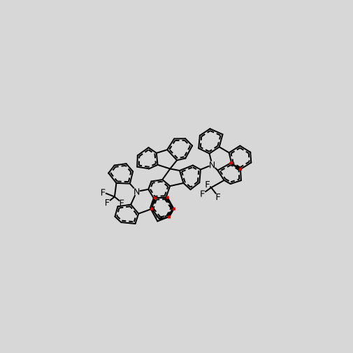 FC(F)(F)c1ccccc1N(c1ccc2c(c1)C1(c3ccccc3-c3ccccc31)c1cc(N(c3ccccc3-c3ccccc3)c3ccccc3C(F)(F)F)c3ccccc3c1-2)c1ccccc1-c1ccccc1